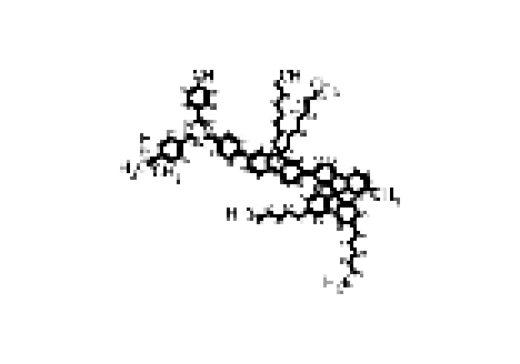 CCCCCCCCC1(CCCCCCCC)c2cc(-c3ccc(-c4nc(-c5ccc(C)cc5)nc(-c5ccc(C(C)(C)C)cc5)n4)cc3)ccc2-c2ccc(-c3ccc4c(c3)C(c3ccc(CCCCCC)cc3)(c3ccc(CCCCCC)cc3)c3cc(C)ccc3-4)cc21